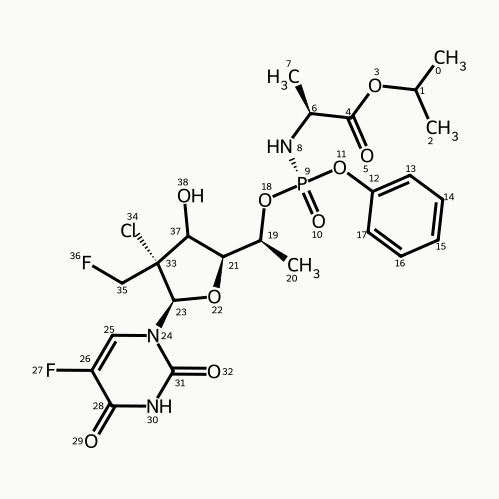 CC(C)OC(=O)[C@H](C)N[P@@](=O)(Oc1ccccc1)O[C@@H](C)[C@H]1O[C@@H](n2cc(F)c(=O)[nH]c2=O)[C@@](Cl)(CF)C1O